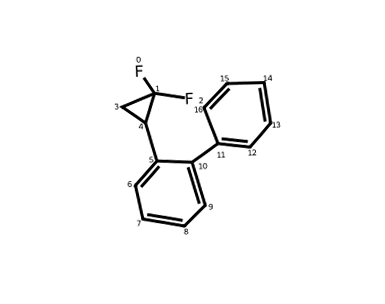 FC1(F)CC1c1ccccc1-c1ccccc1